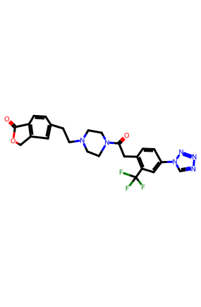 O=C1OCc2cc(CCN3CCN(C(=O)Cc4ccc(-n5cnnn5)cc4C(F)(F)F)CC3)ccc21